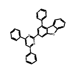 c1ccc(-c2cc(-c3ccccc3)nc(-c3cc(-c4ccccc4)c4c(c3)sc3ccccc34)n2)cc1